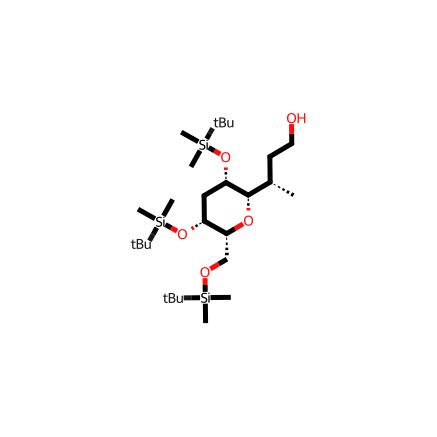 C[C@@H](CCO)[C@@H]1O[C@H](CO[Si](C)(C)C(C)(C)C)[C@H](O[Si](C)(C)C(C)(C)C)C[C@@H]1O[Si](C)(C)C(C)(C)C